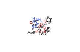 CSCO[C@@H]1[C@@H]2O[Si](C(C)C)(C(C)C)O[Si](C(C)C)(C(C)C)OC(C(=O)COc3ccccc3)[C@H]2O[C@H]1n1cnc2c(=O)[nH]c(N)nc21